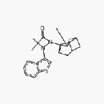 CC1CC2CC3CC(CC23)C1N1C(=O)C(C)(C)N1c1csc2ccccc12